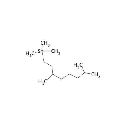 CC(C)CCCC(C)C[CH2][Sn]([CH3])([CH3])[CH3]